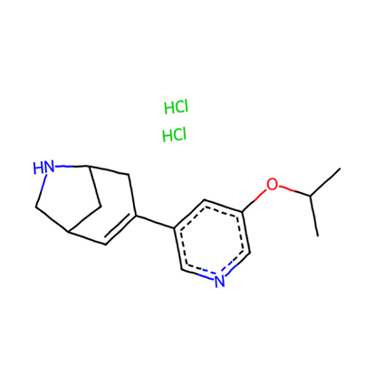 CC(C)Oc1cncc(C2=CC3CNC(C2)C3)c1.Cl.Cl